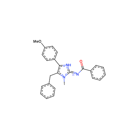 COc1ccc(-c2[nH]/c(=N\C(=O)c3ccccc3)n(C)c2Cc2ccccc2)cc1